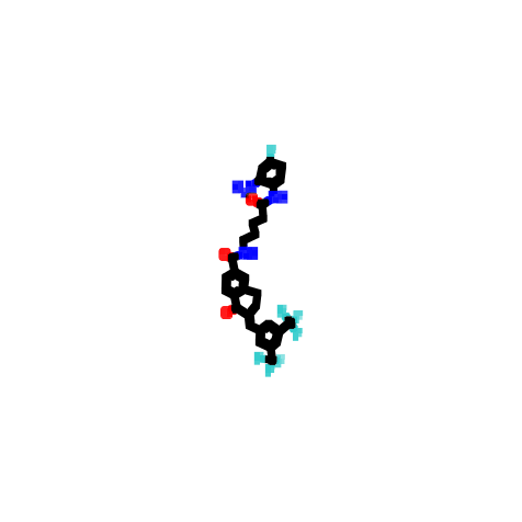 Nc1cc(F)ccc1NC(=O)CCCCNC(=O)c1ccc2c(c1)CC/C(=C\c1cc(C(F)(F)F)cc(C(F)(F)F)c1)C2=O